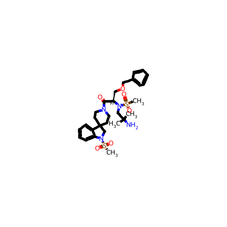 CC(C)(N)CN([C@H](COCc1ccccc1)C(=O)N1CCC2(CC1)CN(S(C)(=O)=O)c1ccccc12)S(C)(=O)=O